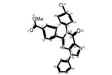 COC(=O)c1ccc(-c2nc3c(ncn3-c3ccccc3)c(=O)n2-c2ccc(Cl)cc2)cc1